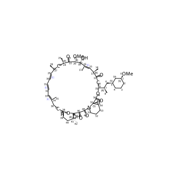 CO[C@H]1CCC[C@@H](C[C@@H](C)[C@@H]2CC(=O)[C@H](C)/C=C(\C)[C@@H](O)[C@@H](OC)C(=O)[C@H](C)C[C@H](C)/C=C/C=C/C=C(\C)CC[C@@H]3CC[C@@H](C)[C@@](O)(O3)C(=O)C(=O)N3CCCC[C@H]3C(=O)O2)C1